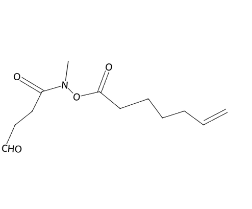 C=CCCCCC(=O)ON(C)C(=O)CCC=O